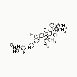 Cc1cc(Nc2ncc(Cl)c(Nc3ccccc3S(=O)(=O)C(C)C)n2)c(OC(C)C)cc1N1CCC(N2CCN(Cc3ccc(N4CCC(=O)NC4=O)cc3F)CC2)CC1